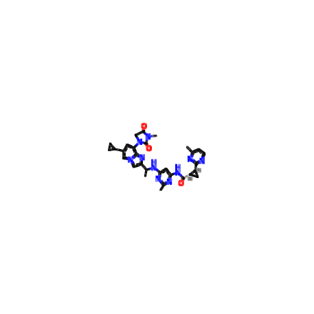 Cc1ccnc([C@H]2C[C@@H]2C(=O)Nc2cc(NC(C)c3cn4cc(C5CC5)cc(N5CC(=O)N(C)C5=O)c4n3)nc(C)n2)n1